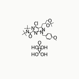 COc1ccc(Cn2nc(CC3COC(C)(C)O3)c3c(Cl)nc(C(=O)N(C(C)(C)C)C(C)(C)C)nc32)cc1.O=C(O)O.O=C(O)O